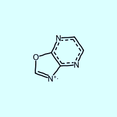 C1=[N+]c2nccnc2O1